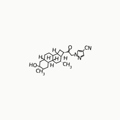 C[C@@H]1C[C@H]2[C@@H](CC[C@H]3C[C@](C)(O)CC[C@@H]32)[C@@H]2C[C@@H](C(=O)Cn3cc(C#N)cn3)[C@H]21